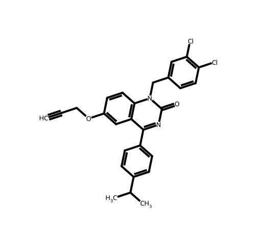 C#CCOc1ccc2c(c1)c(-c1ccc(C(C)C)cc1)nc(=O)n2Cc1ccc(Cl)c(Cl)c1